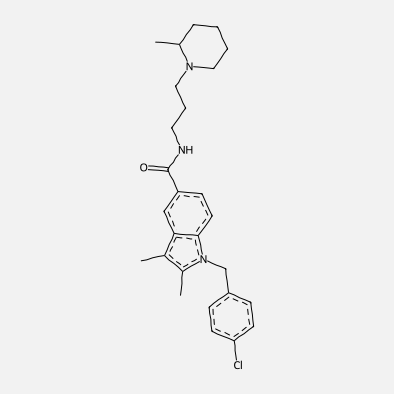 Cc1c(C)n(Cc2ccc(Cl)cc2)c2ccc(C(=O)NCCCN3CCCCC3C)cc12